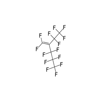 FC(F)=C(C(F)(F)C(F)(F)F)C(F)(F)C(F)(F)C(F)(F)F